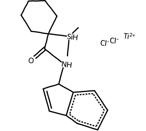 C[SiH](C)C1(C(=O)NC2C=Cc3ccccc32)CCCCC1.[Cl-].[Cl-].[Ti+2]